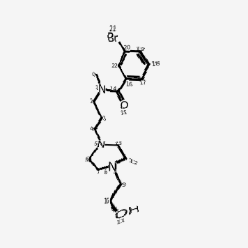 CN(CCCN1CCN(CCO)CC1)C(=O)c1cccc(Br)c1